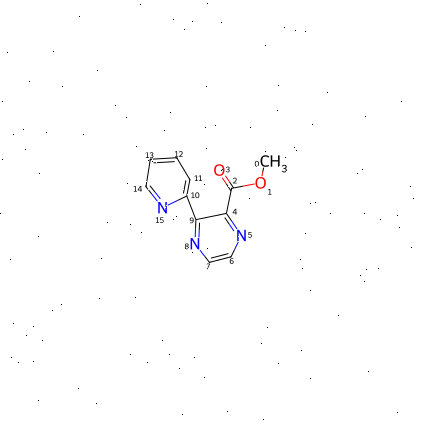 COC(=O)c1nccnc1-c1ccccn1